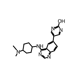 CN(C)C1CCC(Nc2ncnc3ccc(-c4cnc(O)nc4)cc23)CC1